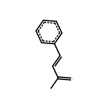 [CH]=C(C)C=Cc1ccccc1